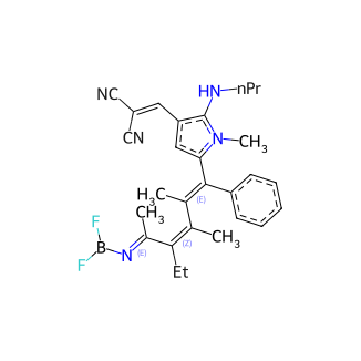 CCCNc1c(C=C(C#N)C#N)cc(/C(=C(C)/C(C)=C(CC)\C(C)=N\B(F)F)c2ccccc2)n1C